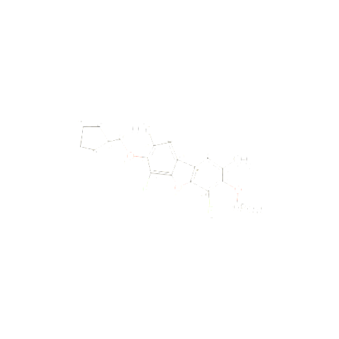 CCCCCOc1c(C)cc2c(oc3c(F)c(OCC4CCCC4)c(C)cc32)c1F